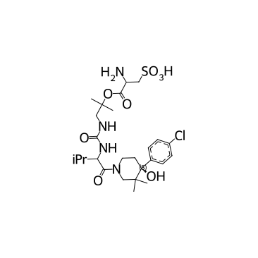 CC(C)C(NC(=O)NCC(C)(C)OC(=O)C(N)CS(=O)(=O)O)C(=O)N1CC[C@](O)(c2ccc(Cl)cc2)C(C)(C)C1